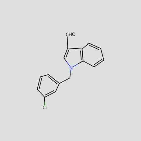 O=Cc1cn(Cc2cccc(Cl)c2)c2ccc[c]c12